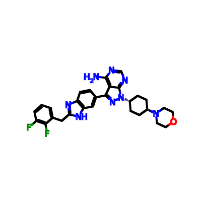 Nc1ncnc2c1c(-c1ccc3nc(Cc4cccc(F)c4F)[nH]c3c1)nn2[C@H]1CC[C@H](N2CCOCC2)CC1